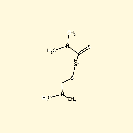 CN(C)CS[SH2]C(=S)N(C)C